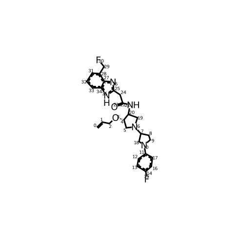 C=CCO[C@H]1CN(C2CCN(c3ccc(F)cc3)C2)CC1NC(=O)Cc1nc2c(CF)cccc2[nH]1